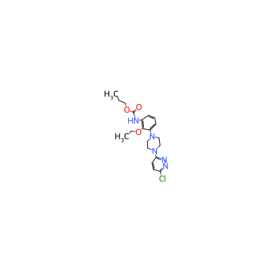 CCCOC(=O)Nc1cccc(N2CCN(c3ccc(Cl)nn3)CC2)c1OCC